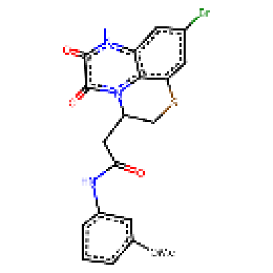 COc1cccc(NC(=O)CC2CSc3cc(Br)cc4[nH]c(=O)c(=O)n2c34)c1